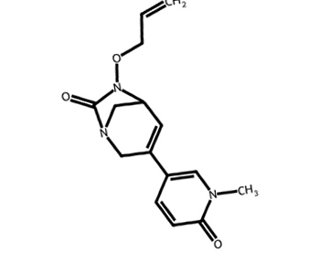 C=CCON1C(=O)N2CC(c3ccc(=O)n(C)c3)=CC1C2